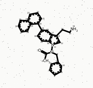 CC(=O)N(Cc1ccccc1)n1cc(CCN)c2cc(-c3cccc4ccccc34)ccc21